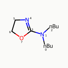 CCCCN(CCCC)C1=NCCO1